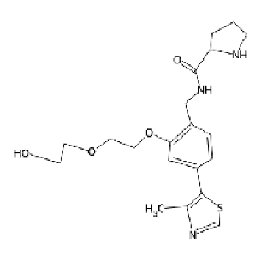 Cc1ncsc1-c1ccc(CNC(=O)C2CCCN2)c(OCCOCCO)c1